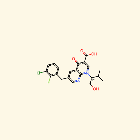 CC(C)[C@@H](CO)n1cc(C(=O)O)c(=O)c2cc(Cc3cccc(Cl)c3F)cnc21